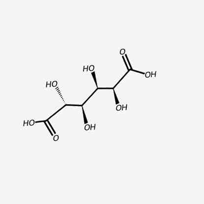 O=C(O)[C@@H](O)[C@H](O)[C@@H](O)[C@@H](O)C(=O)O